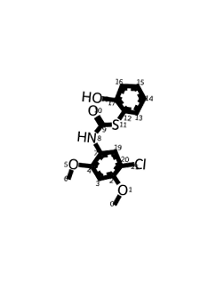 COc1cc(OC)c(NC(=O)Sc2ccccc2O)cc1Cl